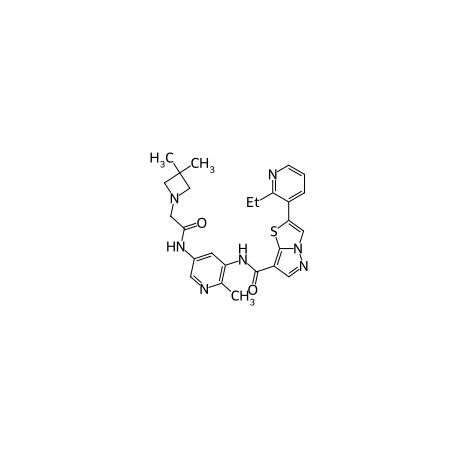 CCc1ncccc1-c1cn2ncc(C(=O)Nc3cc(NC(=O)CN4CC(C)(C)C4)cnc3C)c2s1